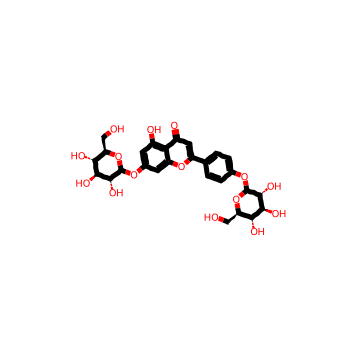 O=c1cc(-c2ccc(OC3O[C@H](CO)[C@@H](O)[C@H](O)[C@H]3O)cc2)oc2cc(OC3O[C@H](CO)[C@@H](O)[C@H](O)[C@H]3O)cc(O)c12